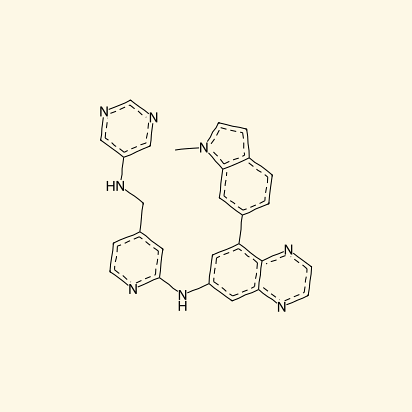 Cn1ccc2ccc(-c3cc(Nc4cc(CNc5cncnc5)ccn4)cc4nccnc34)cc21